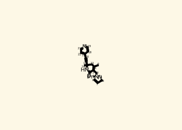 CC1=C(C[N+]2(C(C)C)C=CC=N2)C(=O)NC(C)(C#Cc2ccncc2)C1